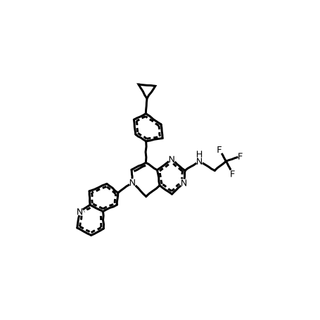 FC(F)(F)CNc1ncc2c(n1)C(c1ccc(C3CC3)cc1)=CN(c1ccc3ncccc3c1)C2